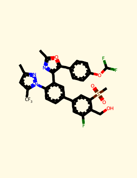 Cc1cc(C(F)(F)F)n(-c2ccc(-c3cc(F)c(CO)c(S(C)(=O)=O)c3)cc2-c2nc(C)oc2-c2ccc(OC(F)F)cc2)n1